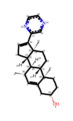 C[C@H]1C=C2C[C@@H](O)CC[C@]2(C)[C@H]2CC[C@]3(C)C(c4cnccn4)=CC[C@H]3[C@H]12